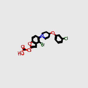 O=C(O)Oc1cc2c(Br)c(N3CCC(Oc4cccc(Cl)c4)CC3)ccc2o1